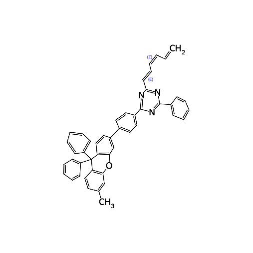 C=C/C=C\C=C\c1nc(-c2ccccc2)nc(-c2ccc(-c3ccc4c(c3)Oc3cc(C)ccc3C4(c3ccccc3)c3ccccc3)cc2)n1